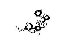 CC1(c2ccc(F)c(NC(=O)c3cccnc3Sc3ccccc3)c2)CCSC(N)=N1